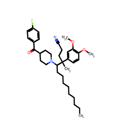 CCCCCCCCCC(N1CCC(C(=O)c2ccc(F)cc2)CC1)C(C)(CCC#N)c1ccc(OC)c(OC)c1